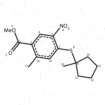 COC(=O)c1cc([N+](=O)[O-])c(SC2(C)CCCC2)cc1C